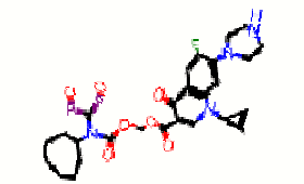 O=PC(P=O)N(C(=O)OCOC(=O)c1cn(C2CC2)c2cc(N3CCNCC3)c(F)cc2c1=O)C1CCCCCC1